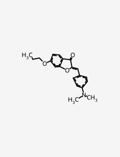 CCCOc1ccc2c(c1)O/C(=C\c1ccc(N(C)C)cc1)C2=O